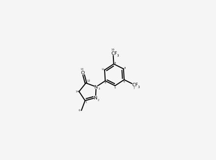 CC1=NN(c2cc(C(F)(F)F)cc(C(F)(F)F)c2)C(=O)C1